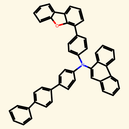 c1ccc(-c2ccc(-c3ccc(N(c4ccc(-c5cccc6c5oc5ccccc56)cc4)c4cc5ccccc5c5ccccc45)cc3)cc2)cc1